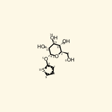 OC[C@H]1O[C@H](Oc2cccs2)[C@H](O)[C@@H](O)[C@@H]1O